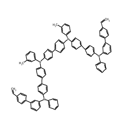 C=Cc1ccc(-c2cccc(N(c3ccccc3)c3ccc(-c4ccc(N(c5ccc(-c6ccc(N(c7ccc(-c8ccc(N(c9ccccc9)c9cccc(-c%10ccc(C=C)cc%10)c9)cc8)cc7)c7cccc(C)c7)cc6)cc5)c5cccc(C)c5)cc4)cc3)c2)cc1